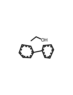 CCO.c1ccc(-c2ccccc2)cc1